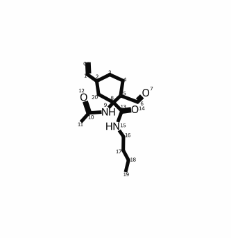 C=CC1CCC(C=O)C(NC(C)=O)(C(=O)NCCCC)C1